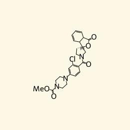 COC(=O)N1CCN(c2ccc(C(=O)N3CC[C@@]4(C3)OC(=O)C3C=CC=CC34)c(Cl)c2)CC1